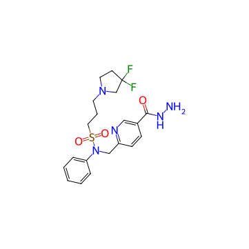 NNC(=O)c1ccc(CN(c2ccccc2)S(=O)(=O)CCCN2CCC(F)(F)C2)nc1